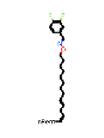 CCCCC/C=C\C/C=C/CCCCCCCCON=Cc1ccc(F)c(F)c1